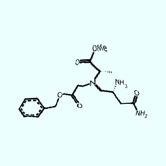 COC(=O)[C@H](C)N(CC(=O)OCc1ccccc1)C[C@H](N)CC(N)=O